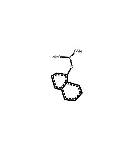 COP(OC)Oc1cccc2ccccc12